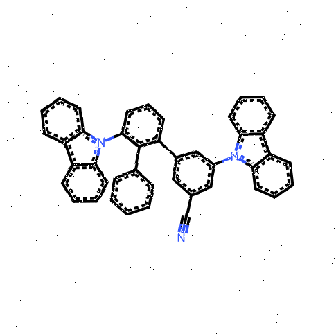 N#Cc1cc(-c2cccc(-n3c4ccccc4c4ccccc43)c2-c2ccccc2)cc(-n2c3ccccc3c3ccccc32)c1